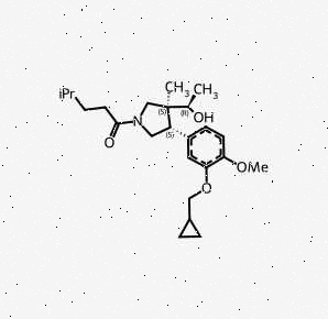 COc1ccc([C@@H]2CN(C(=O)[CH]CC(C)C)C[C@@]2(C)[C@@H](C)O)cc1OCC1CC1